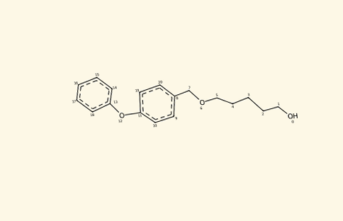 OCCCCCOCc1ccc(Oc2ccccc2)cc1